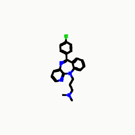 CN(C)CCCN1c2ccccc2C(c2ccc(Cl)cc2)=Nc2cccnc21